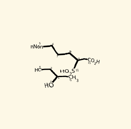 CC(O)CO.CCCCCCCCCCCCC(C(=O)O)S(=O)(=O)O